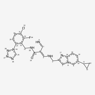 N=C/C(=C\NCc1cn2cc(C3CC3)ccc2n1)C(=O)NCc1c(-n2cnnn2)ccc(Cl)c1F